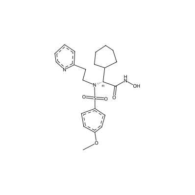 COc1ccc(S(=O)(=O)N(CCc2ccccn2)[C@@H](C(=O)NO)C2CCCCC2)cc1